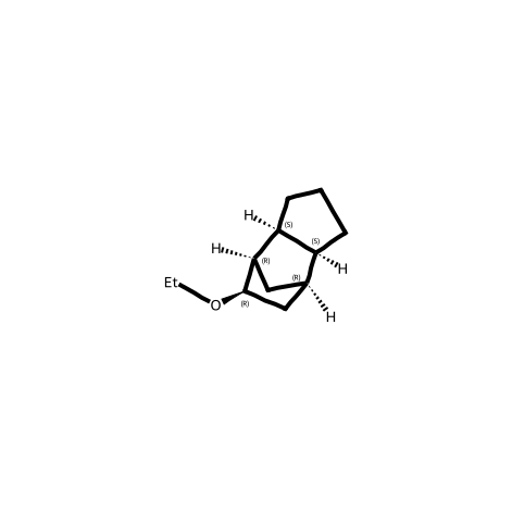 CCO[C@@H]1C[C@H]2C[C@@H]1[C@H]1CCC[C@@H]21